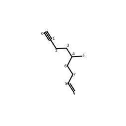 C#CCCC(C)C[CH]C=C